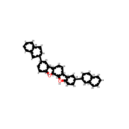 c1ccc2cc(-c3ccc4oc5c(ccc6c7cc(-c8ccc9ccccc9c8)ccc7oc65)c4c3)ccc2c1